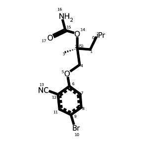 CC(C)C[C@@](C)(COc1ccc(Br)cc1C#N)OC(N)=O